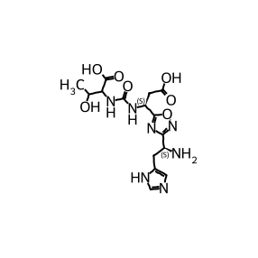 CC(O)C(NC(=O)N[C@@H](CC(=O)O)c1nc([C@@H](N)Cc2cnc[nH]2)no1)C(=O)O